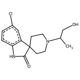 CC(CO)N1CCC2(CC1)C(=O)Nc1ccc(Cl)cc12